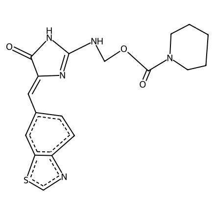 O=C1NC(NCOC(=O)N2CCCCC2)=N/C1=C\c1ccc2ncsc2c1